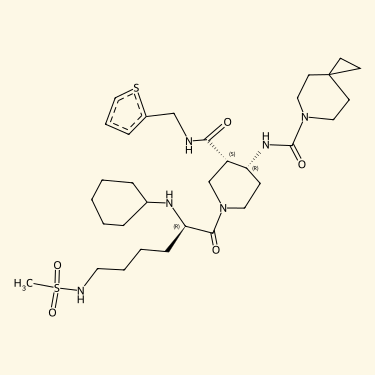 CS(=O)(=O)NCCCC[C@@H](NC1CCCCC1)C(=O)N1CC[C@@H](NC(=O)N2CCC3(CC2)CC3)[C@@H](C(=O)NCc2cccs2)C1